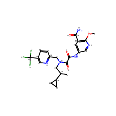 COc1ncc(NC(=O)C(=O)N(Cc2ccc(C(F)(F)F)cn2)CC(C)C2CC2)cc1C(N)=O